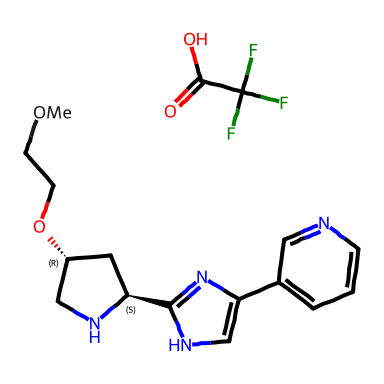 COCCO[C@H]1CN[C@H](c2nc(-c3cccnc3)c[nH]2)C1.O=C(O)C(F)(F)F